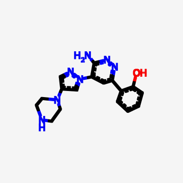 Nc1nnc(-c2ccccc2O)cc1-n1cc(N2CCNCC2)cn1